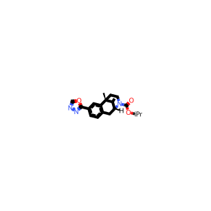 CC(C)OC(=O)N1CC[C@@]2(C)c3cc(-c4nnco4)ccc3C[C@@H]1C2C